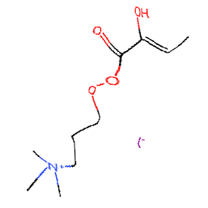 CC=C(O)C(=O)OOCCC[N+](C)(C)C.[I-]